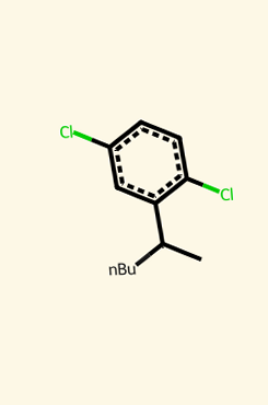 CCCC[C](C)c1cc(Cl)ccc1Cl